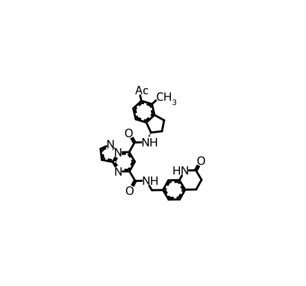 CC(=O)c1ccc2c(c1C)CC[C@@H]2NC(=O)c1cc(C(=O)NCc2ccc3c(c2)NC(=O)CC3)nc2ccnn12